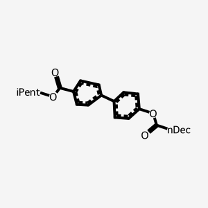 CCCCCCCCCCC(=O)Oc1ccc(-c2ccc(C(=O)OC(C)CCC)cc2)cc1